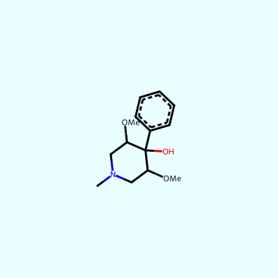 COC1CN(C)CC(OC)C1(O)c1ccccc1